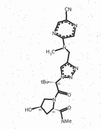 CNC(=O)[C@@H]1C[C@@H](O)CN1C(=O)[C@@H](n1cc(CN(C)c2cnc(C#N)cn2)nn1)C(C)(C)C